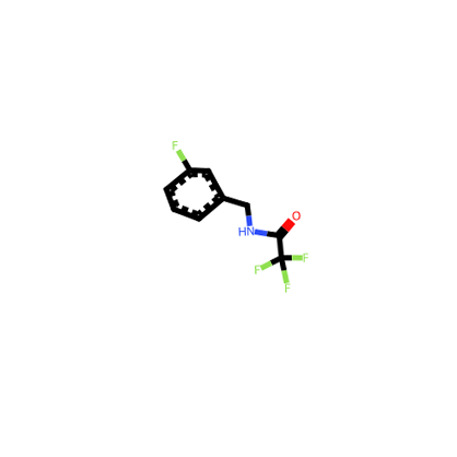 O=C(NCc1cccc(F)c1)C(F)(F)F